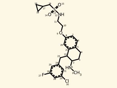 CNC1CCc2ccc(OCCNS(=O)(=O)CC3CC3)cc2C1Cc1cc(F)cc(Cl)c1